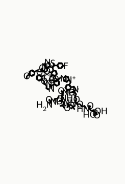 COc1ccc(COC(=O)[C@@H](Cc2ccccc2OCc2ccnc(-c3ccccc3OC)n2)Oc2ncnc3sc(-c4ccc(F)cc4)c(-c4ccc(OCCN5CC[N+](C)(Cc6ccc(NC(=O)[C@H](CCCNC(N)=O)NC(=O)[C@@H](NC(=O)OC(C)(C)C)C(C)C)cc6CN(C)C(=O)CCOCCOCCNC(=O)CCP(=O)(O)O)CC5)c(Cl)c4C)c23)cc1